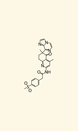 Cc1cc(NC(=O)Cc2ccc(S(C)(=O)=O)cc2)nc2c1C(=O)C(C)(c1nccn3ccnc13)CC2